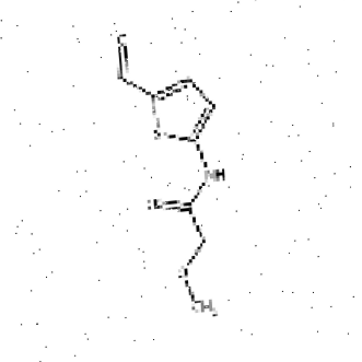 COCC(=O)Nc1ccc(C=O)s1